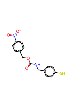 O=C(NCc1ccc(S)cc1)OCc1ccc([N+](=O)[O-])cc1